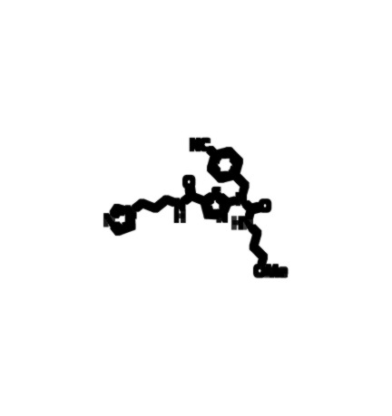 COCCCNC(=O)N(Cc1ccc(C#N)cc1)c1ncc(C(=O)NCCCn2ccnc2)s1